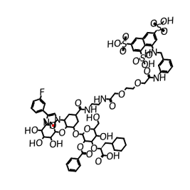 CC1OC(OC2C(OC3OC(CO)C(O)C(O[C@@H](CC4CCCCC4)C(=O)O)C3OC(=O)c3ccccc3)CC(C(=O)NCCNC(=O)COCCOCC(=O)Nc3cccc(CNc4cc(S(=O)(=O)O)cc5cc(S(=O)(=O)O)cc(S(=O)(=O)O)c45)c3)CC2n2cc(-c3cccc(F)c3)nn2)C(O)C(O)C1O